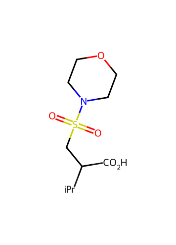 CC(C)C(CS(=O)(=O)N1CCOCC1)C(=O)O